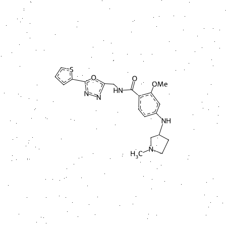 COc1cc(NC2CCN(C)C2)ccc1C(=O)NCc1nnc(-c2cccs2)o1